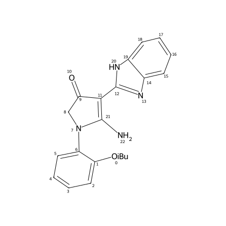 CC(C)COc1ccccc1N1CC(=O)C(c2nc3ccccc3[nH]2)=C1N